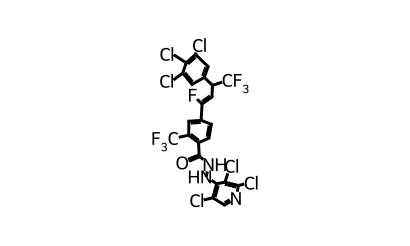 O=C(NNc1c(Cl)cnc(Cl)c1Cl)c1ccc(C(F)=CC(c2cc(Cl)c(Cl)c(Cl)c2)C(F)(F)F)cc1C(F)(F)F